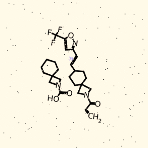 C=CC(=O)N1CC2(CCC(/C=C/c3cc(C(F)(F)F)on3)CC2)C1.O=C(O)N1CC2(CCCCC2)C1